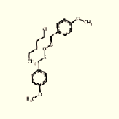 CCCCCCl.COc1ccc(CSOSCc2ccc(OC)cc2)cc1